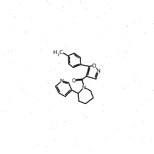 Cc1ccc(-c2oncc2C(=O)N2CCCCC2c2cccnc2)cc1